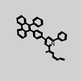 C=C/C=C\C=C(/C)c1cc(-c2ccc(-c3c(-c4ccccc4)c4ccccc4c4ccccc34)cc2)cc(-c2ccccc2)n1